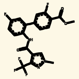 COC(=O)c1ccc(-c2cc(F)ccc2NC(=O)c2cn(C)nc2C(F)(F)F)cc1F